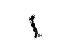 CC(C)(c1ccc(OCC(O)CF)cc1)c1ccc(OCC(CN=O)N=O)cc1